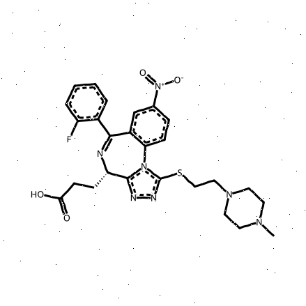 CN1CCN(CCSc2nnc3n2-c2ccc([N+](=O)[O-])cc2C(c2ccccc2F)=N[C@H]3CCC(=O)O)CC1